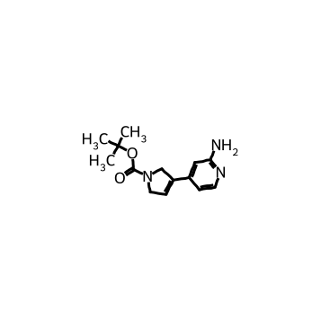 CC(C)(C)OC(=O)N1CC=C(c2ccnc(N)c2)C1